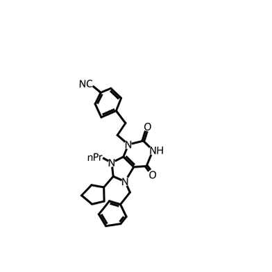 CCCN1c2c(c(=O)[nH]c(=O)n2CCc2ccc(C#N)cc2)N(Cc2ccccc2)C1C1CCCC1